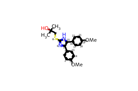 COc1ccc(-c2nc(SCC(C)(C)O)[nH]c2-c2ccc(OC)cc2)cc1